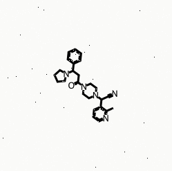 Cc1ncccc1C(C#N)N1CCN(C(=O)CC(c2ccccc2)N2CCCC2)CC1